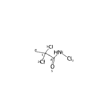 CC(Cl)(Cl)C(=O)NCl